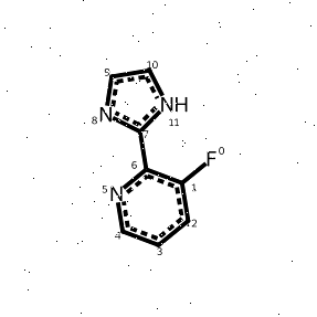 Fc1[c]ccnc1-c1ncc[nH]1